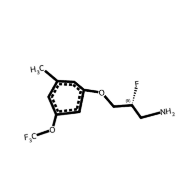 Cc1cc(OC[C@H](F)CN)cc(OC(F)(F)F)c1